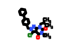 CC(C)Cn1c(=O)n(C)c(=O)c2c(Cl)n(Cc3ccc(-c4ccccc4)cc3)nc21